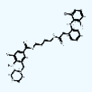 Nc1c(Br)cc(C(=O)OCCCCOC(=O)Cc2ccccc2Nc2c(Cl)cccc2Cl)cc1CN1CCOCC1